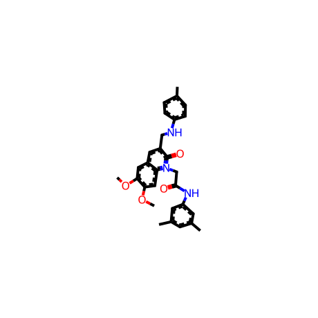 COc1cc2cc(CNc3ccc(C)cc3)c(=O)n(CC(=O)Nc3cc(C)cc(C)c3)c2cc1OC